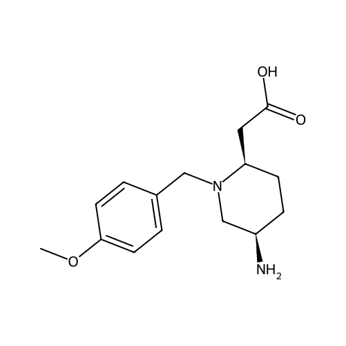 COc1ccc(CN2C[C@H](N)CC[C@@H]2CC(=O)O)cc1